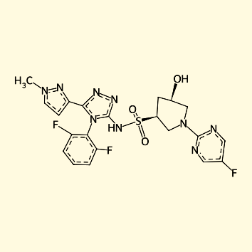 Cn1ccc(-c2nnc(NS(=O)(=O)[C@H]3C[C@@H](O)CN(c4ncc(F)cn4)C3)n2-c2c(F)cccc2F)n1